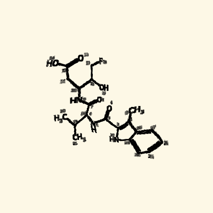 Cc1c(C(=O)N[C@H](C(=O)NC(CC(=O)O)C(O)CF)C(C)C)[nH]c2ccccc12